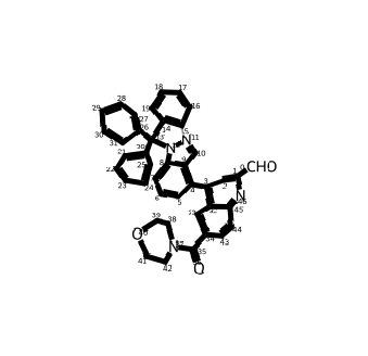 O=Cc1cc(-c2cccc3c2cnn3C(c2ccccc2)(c2ccccc2)c2ccccc2)c2cc(C(=O)N3CCOCC3)ccc2n1